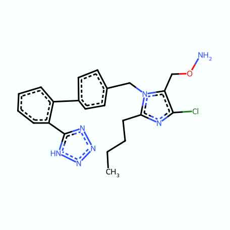 CCCCc1nc(Cl)c(CON)n1Cc1ccc(-c2ccccc2-c2nnn[nH]2)cc1